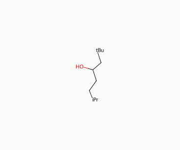 CC(C)CCC(O)CC(C)(C)C